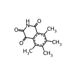 Cc1c(C)c(C)c2c(c1C)C(=O)NC(=O)C2=O